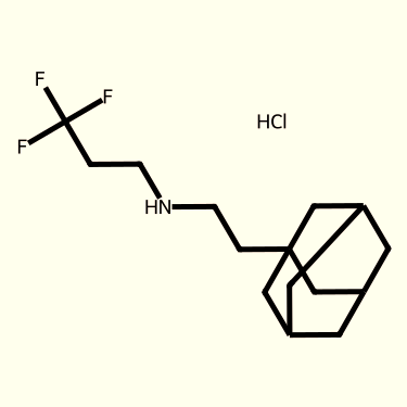 Cl.FC(F)(F)CCNCCC12CC3CC(CC(C3)C1)C2